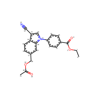 CCOC(=O)c1ccc(-n2cc(C#N)c3ccc(COC(C)=O)cc32)cc1